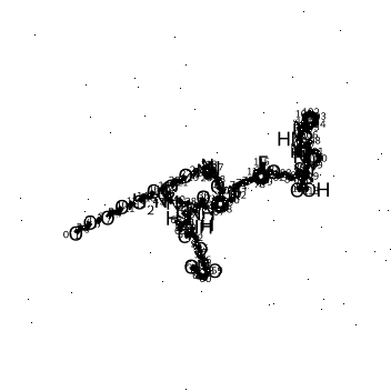 COCCOCCOCCOCCOCCOCCOCCOCCn1cc(COCc2cc(NC(=O)[C@@H](CCCNC(N)=O)NC(=O)[C@H](NC(=O)CCOCCN3C(=O)C=CC3=O)C(C)C)ccc2C[N+](C)(C)CC#Cc2ccc(OCCCc3sc(N4CCCc5c4nnc(Nc4nc6ccccc6s4)c5C)nc3C(=O)O)c(F)c2)nn1